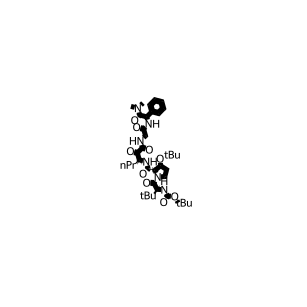 CCC[C@@H](NC(=O)[C@@H]1C(OC(C)(C)C)CCN1C(=O)[C@@H](NC(=O)OC(C)(C)C)C(C)(C)C)C(=O)C(=O)NCC(=O)NC(C(=O)N(C)C)c1ccccc1